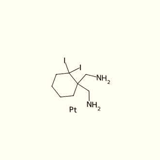 NCC1(CN)CCCCC1(I)I.[Pt]